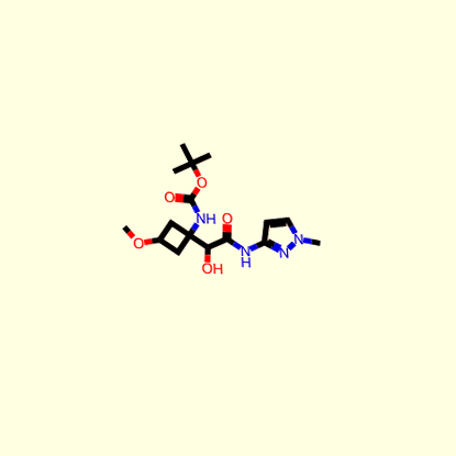 COC1CC(NC(=O)OC(C)(C)C)(C(O)C(=O)Nc2ccn(C)n2)C1